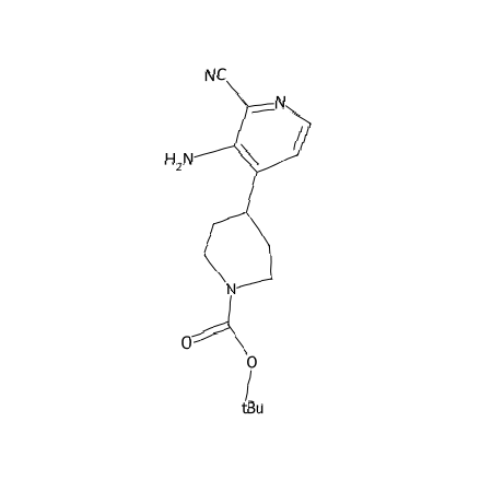 CC(C)(C)OC(=O)N1CCC(c2ccnc(C#N)c2N)CC1